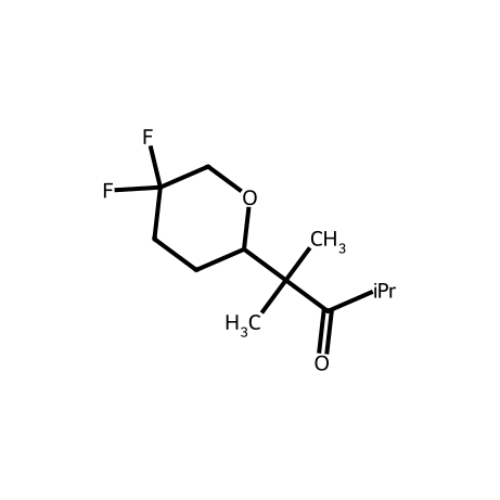 CC(C)C(=O)C(C)(C)C1CCC(F)(F)CO1